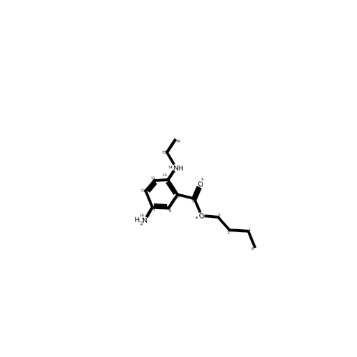 CCCCOC(=O)c1cc(N)ccc1NCC